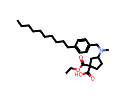 CCCCCCCCCCc1ccc(CN(C)C2CCC(C(=O)O)(C(=O)OCC)C2)cc1